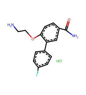 Cl.NCCOc1ccc(C(N)=O)cc1-c1ccc(F)cc1